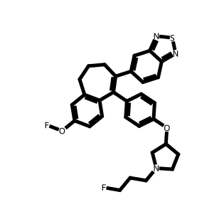 FCCCN1CCC(Oc2ccc(C3=C(c4ccc5nsnc5c4)CCCc4cc(OF)ccc43)cc2)C1